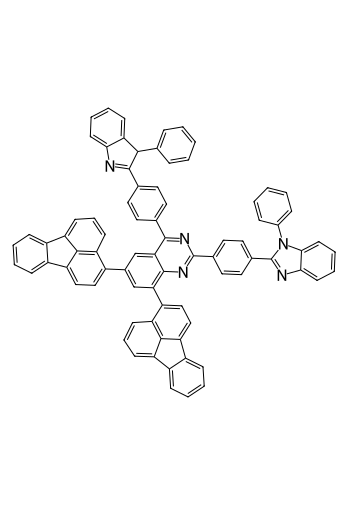 c1ccc(C2C(c3ccc(-c4nc(-c5ccc(-c6nc7ccccc7n6-c6ccccc6)cc5)nc5c(-c6ccc7c8c(cccc68)-c6ccccc6-7)cc(-c6ccc7c8c(cccc68)-c6ccccc6-7)cc45)cc3)=Nc3ccccc32)cc1